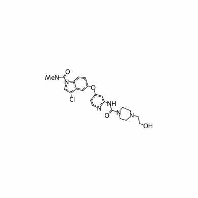 CNC(=O)n1cc(Cl)c2cc(Oc3ccnc(NC(=O)N4CCN(CCO)CC4)c3)ccc21